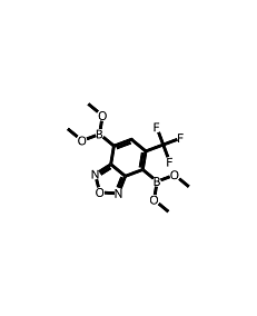 COB(OC)c1cc(C(F)(F)F)c(B(OC)OC)c2nonc12